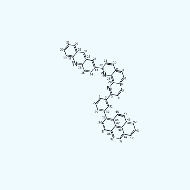 c1cc(-c2ccc3ccc4ccc(-c5ccc6nc7ccccc7cc6c5)nc4c3n2)cc(-c2ccc3ccc4cccc5ccc2c3c45)c1